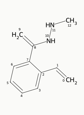 C=Cc1ccccc1C(=C)NNC